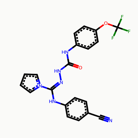 N#Cc1ccc(NC(=NNC(=O)Nc2ccc(OC(F)(F)F)cc2)n2cccc2)cc1